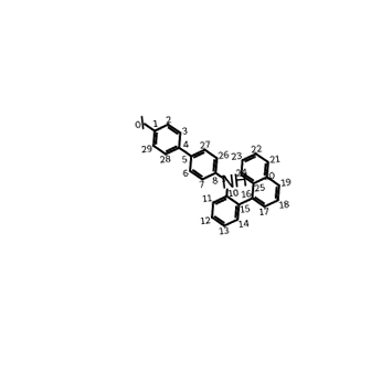 Ic1ccc(-c2ccc(Nc3ccccc3-c3cccc4ccccc34)cc2)cc1